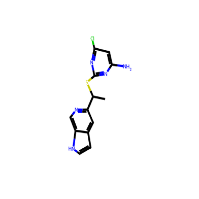 CC(Sc1nc(N)cc(Cl)n1)c1cc2cc[nH]c2cn1